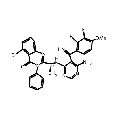 COc1ccc(C(=N)c2c(N)ncnc2N[C@@H](C)c2nc3cccc(Cl)c3c(=O)n2-c2ccccc2)c(F)c1F